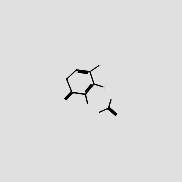 CC(=O)O.O=C1CC=C(F)C(F)=C1F